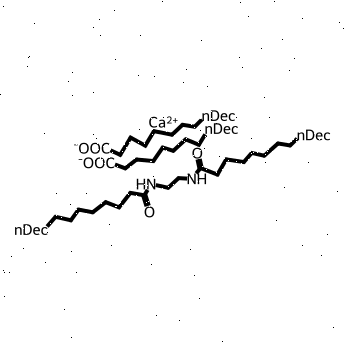 CCCCCCCCCCCCCCCCCC(=O)NCCNC(=O)CCCCCCCCCCCCCCCCC.CCCCCCCCCCCCCCCCCC(=O)[O-].CCCCCCCCCCCCCCCCCC(=O)[O-].[Ca+2]